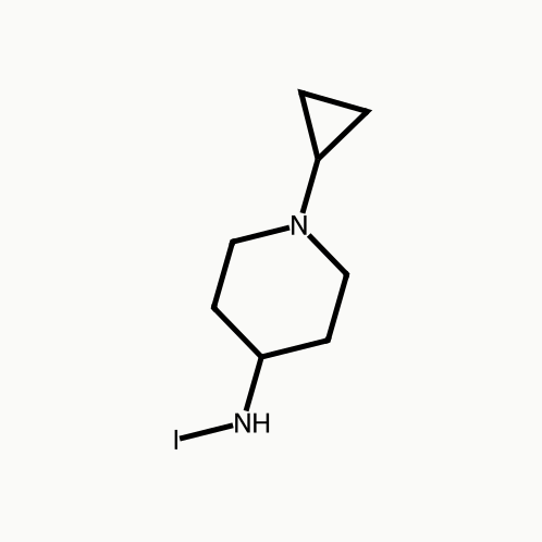 INC1CCN(C2CC2)CC1